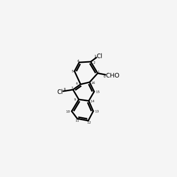 O=Cc1c(Cl)ccc2c(Cl)c3ccccc3cc12